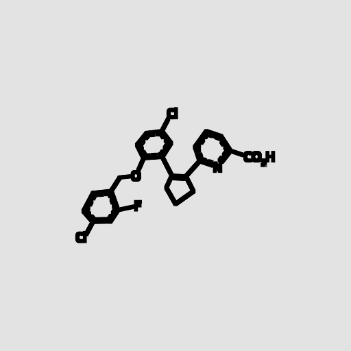 O=C(O)c1cccc(C2=C(c3cc(Cl)ccc3OCc3ccc(Cl)cc3F)CCC2)n1